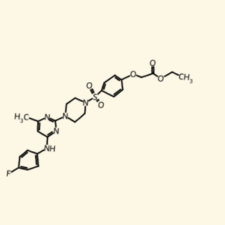 CCOC(=O)COc1ccc(S(=O)(=O)N2CCN(c3nc(C)cc(Nc4ccc(F)cc4)n3)CC2)cc1